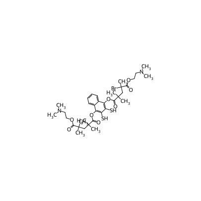 CN(C)CCOC(=O)C(C)(C)CC(C)(C)C(=O)Oc1c(S)c(S)c(OC(=O)C(C)(C)CC(C)(Br)C(=O)OCCN(C)C)c2ccccc12